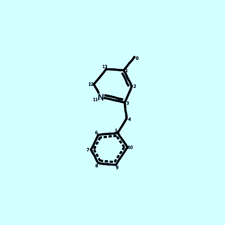 CC1=CC(Cc2ccccc2)=NCC1